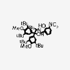 CCC(C)C(N=Cc1cccc([N+](=O)[O-])c1O)C(O)(c1cc(C(C)(C)C)c(OC)c(C(C)(C)C)c1)c1cc(C(C)(C)C)c(OC)c(C(C)(C)C)c1